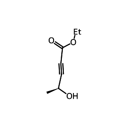 CCOC(=O)C#C[C@H](C)O